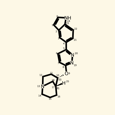 c1cc2cc(-c3ccc(O[C@H]4CCN5CCC[C@@H]4C5)nn3)ccc2[nH]1